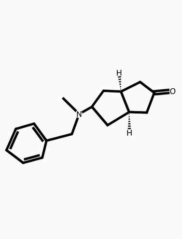 CN(Cc1ccccc1)C1C[C@H]2CC(=O)C[C@H]2C1